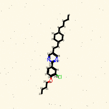 CCCCCC1CCC(CCc2cnc(-c3ccc(OCCCC)c(Cl)c3)nc2)CC1